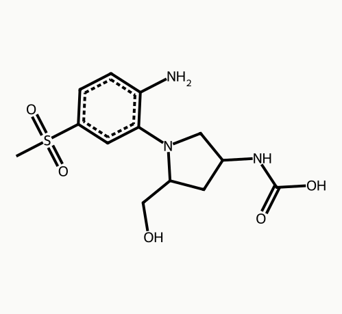 CS(=O)(=O)c1ccc(N)c(N2CC(NC(=O)O)CC2CO)c1